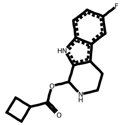 O=C(OC1NCCc2c1[nH]c1ccc(F)cc21)C1CCC1